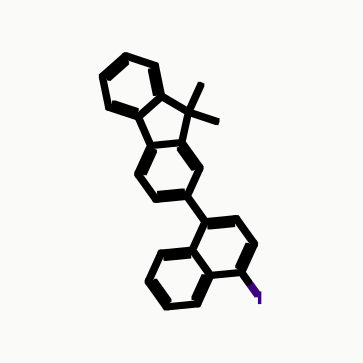 CC1(C)c2ccccc2-c2ccc(-c3ccc(I)c4ccccc34)cc21